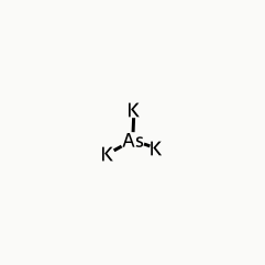 [K][As]([K])[K]